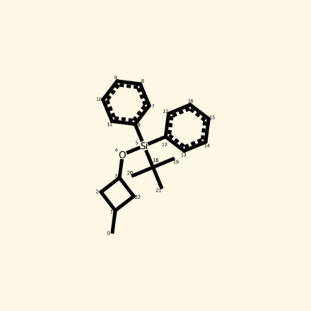 CC1CC(O[Si](c2ccccc2)(c2ccccc2)C(C)(C)C)C1